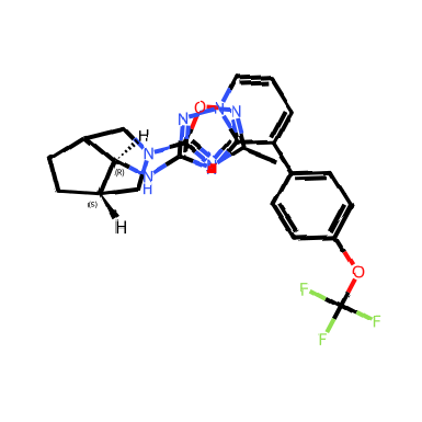 Cc1noc(N2CC3CC[C@@H](C2)[C@@H]3Nc2nc3c(-c4ccc(OC(F)(F)F)cc4)cccn3n2)n1